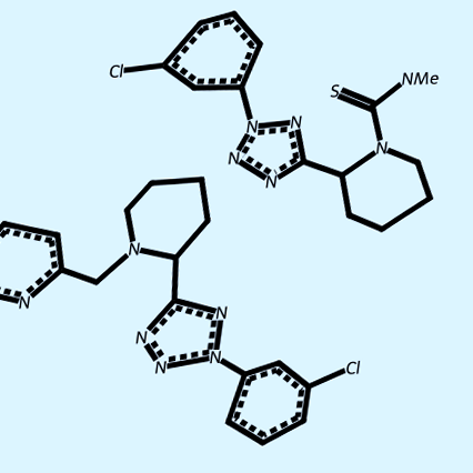 CNC(=S)N1CCCCC1c1nnn(-c2cccc(Cl)c2)n1.Clc1cccc(-n2nnc(C3CCCCN3Cc3ccccn3)n2)c1